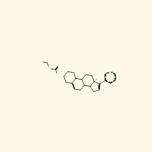 CCNC(=O)N[C@@H]1CC[C@@]2(C)C(=CCC3C2CC[C@]2(C)C(c4cccnc4)=CCC32)C1